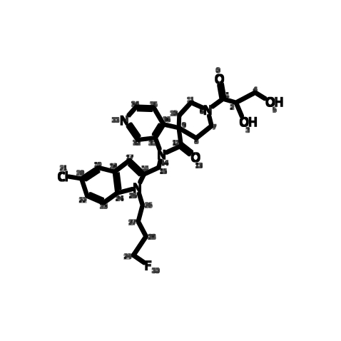 O=C(C(O)CO)N1CCC2(CC1)C(=O)N(Cc1cc3cc(Cl)ccc3n1CCCCF)c1cnccc12